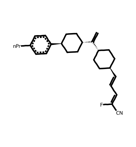 C=C([C@H]1CC[C@H](/C=C/C=C(\F)C#N)CC1)[C@H]1CC[C@H](c2ccc(CCC)cc2)CC1